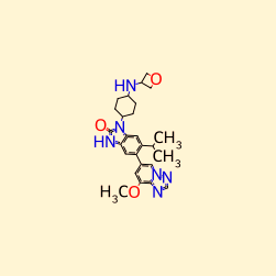 COc1cc(-c2cc3[nH]c(=O)n(C4CCC(NC5COC5)CC4)c3cc2C(C)C)cn2ncnc12